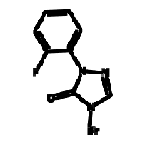 CC(C)n1cnn(-c2ccccc2F)c1=O